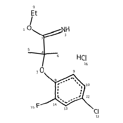 CCOC(=N)C(C)(C)Oc1ccc(Cl)cc1F.Cl